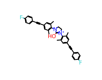 Cc1cc(C#Cc2ccc(F)cc2)cc(C)c1N1CC[N+](c2c(C)cc(C#Cc3ccc(F)cc3)cc2C)=C1O